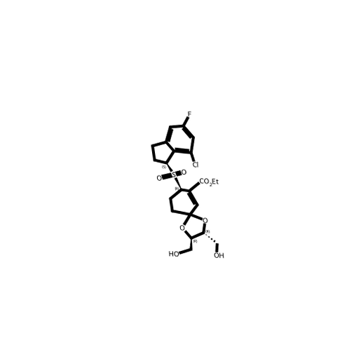 CCOC(=O)C1=CC2(CC[C@H]1S(=O)(=O)[C@H]1CCc3cc(F)cc(Cl)c31)O[C@H](CO)[C@@H](CO)O2